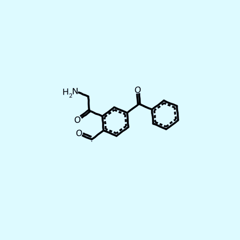 NCC(=O)c1cc(C(=O)c2ccccc2)ccc1[C]=O